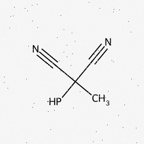 CC([PH])(C#N)C#N